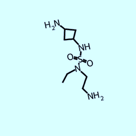 CCN(CCN)S(=O)(=O)NC1CC(N)C1